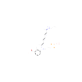 CCC\N=C(C)/C=C/C=C/C=C(\C)N(CCCS(=O)(=O)O)c1cccc(C(=O)O)c1C